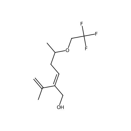 C=C(C)/C(=C\CC(C)OCC(F)(F)F)CO